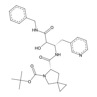 CC(C)(C)OC(=O)N1CC2(CC2)C[C@H]1C(=O)N[C@@H](Cc1cccnc1)C(O)C(=O)NCc1ccccc1